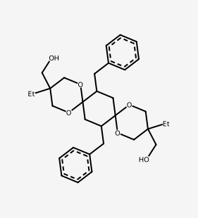 CCC1(CO)COC2(CC(Cc3ccccc3)C3(CC2Cc2ccccc2)OCC(CC)(CO)CO3)OC1